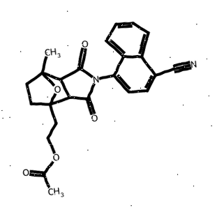 CC(=O)OCCC12CCC(C)(O1)C1C(=O)N(c3ccc(C#N)c4ccccc34)C(=O)C12